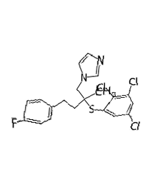 CC(CCc1ccc(F)cc1)(Cn1ccnc1)Sc1cc(Cl)cc(Cl)c1Cl